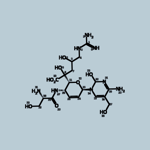 N=C(N)NCC(O)CC(O)(C(=O)O)[C@@H]1O[C@@H](N2C=C(CO)C(N)=NC2O)C=C[C@@H]1NC(=O)[C@@H](N)CO